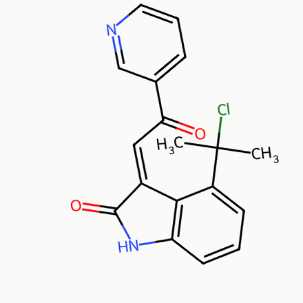 CC(C)(Cl)c1cccc2c1/C(=C\C(=O)c1cccnc1)C(=O)N2